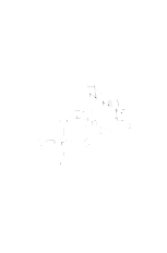 [NH2][Zn+].[NH2][Zn+].[NH2][Zn+].[O-]P([O-])(=S)[S-]